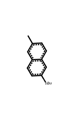 CCCCc1ccc2cc(C)ccc2c1